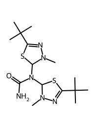 CN1N=C(C(C)(C)C)SC1N(C(N)=O)C1SC(C(C)(C)C)=NN1C